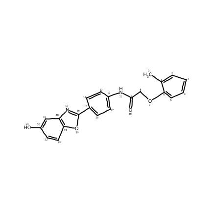 Cc1ccccc1OCC(=O)Nc1ccc(-c2nc3cc(O)ccc3o2)cc1